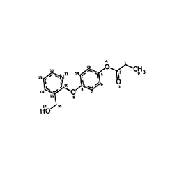 CCC(=O)Oc1ccc(Oc2ncccc2CO)cc1